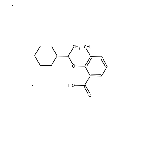 Cc1cccc(C(=O)O)c1OC(C)C1CCCCC1